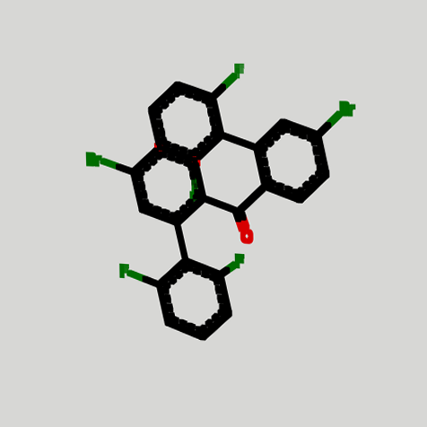 O=C(c1ccc(Br)cc1-c1c(F)cccc1F)c1ccc(Br)cc1-c1c(F)cccc1F